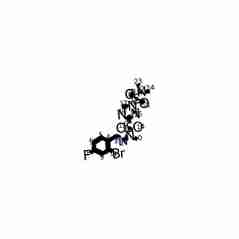 CN(/N=C/c1ccc(F)cc1Br)S(=O)(=O)c1ncn(S(=O)(=O)N(C)C)n1